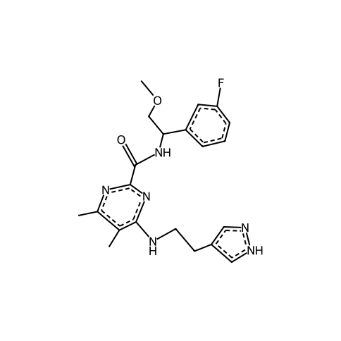 COCC(NC(=O)c1nc(C)c(C)c(NCCc2cn[nH]c2)n1)c1cccc(F)c1